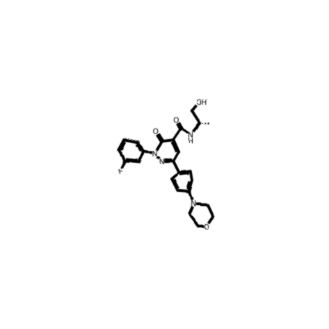 C[C@@H](CO)NC(=O)c1cc(-c2ccc(N3CCOCC3)cc2)nn(-c2cccc(F)c2)c1=O